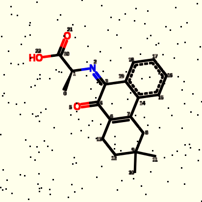 C[C@H](/N=C1\C(=O)C2=C(CC(C)(C)CC2)c2ccccc21)C(=O)O